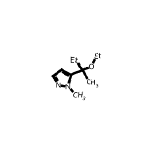 CCOC(C)(CC)c1c[c]nn1C